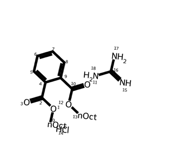 CCCCCCCCOC(=O)c1ccccc1C(=O)OCCCCCCCC.Cl.N=C(N)N